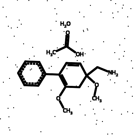 CC(=O)O.COC1=C(c2ccccc2)C=CC(CN)(OC)C1.O